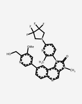 COc1cc(-c2ccc3ncc4c(c3c2)n(-c2ccc(N3CC(F)(F)C(F)(F)C3)nc2C)c(=O)n4C)cnc1CO